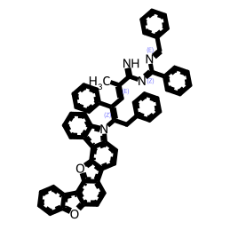 C/C(=C\C(=C(/Cc1ccccc1)n1c2ccccc2c2c3oc4c(ccc5oc6ccccc6c54)c3ccc21)c1ccccc1)C(=N)/N=C(\N=C\c1ccccc1)c1ccccc1